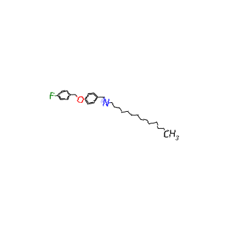 CCCCCCCCCCCCCC/N=C/c1ccc(OCc2ccc(F)cc2)cc1